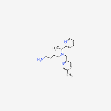 Cc1ccc(CN(CCCCN)C(C)c2ccccn2)nc1